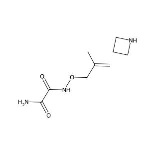 C1CNC1.C=C(C)CONC(=O)C(N)=O